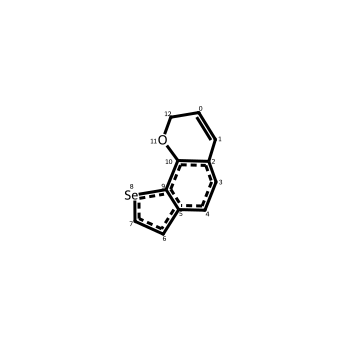 C1=Cc2ccc3cc[se]c3c2OC1